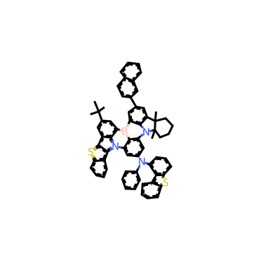 CC(C)(C)c1cc2c3c(c1)c1sc4ccccc4c1n3-c1cc(N(c3ccccc3)c3cccc4sc5ccccc5c34)cc3c1B2c1cc(-c2ccc4ccccc4c2)cc2c1N3C1(C)CCCCC21C